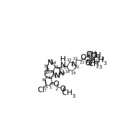 COCOc1cc(Cl)cc(F)c1-c1nnc(N[C@@H]2CCCN(CCO[Si](C)(C)C(C)(C)C)C2)c2cnccc12